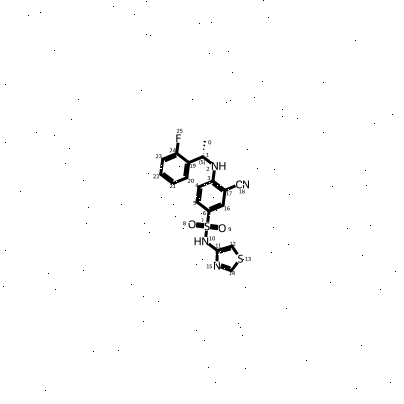 C[C@H](Nc1ccc(S(=O)(=O)Nc2cscn2)cc1C#N)c1ccccc1F